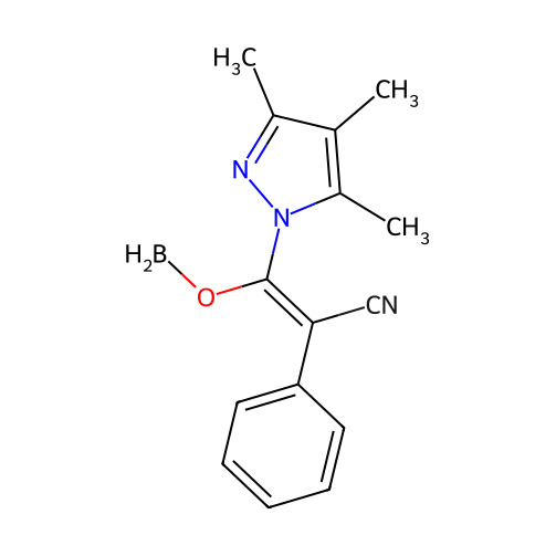 BOC(=C(C#N)c1ccccc1)n1nc(C)c(C)c1C